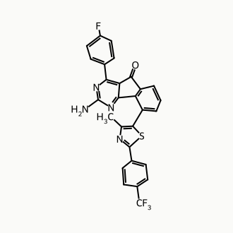 Cc1nc(-c2ccc(C(F)(F)F)cc2)sc1-c1cccc2c1-c1nc(N)nc(-c3ccc(F)cc3)c1C2=O